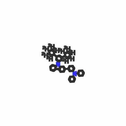 [2H]c1c([2H])c([2H])c(-c2cc(-c3c([2H])c([2H])c([2H])c([2H])c3[2H])cc(-n3c4ccccc4c4ccc(-c5cccc(N(c6ccccc6)c6ccccc6)c5)cc43)c2)c([2H])c1[2H]